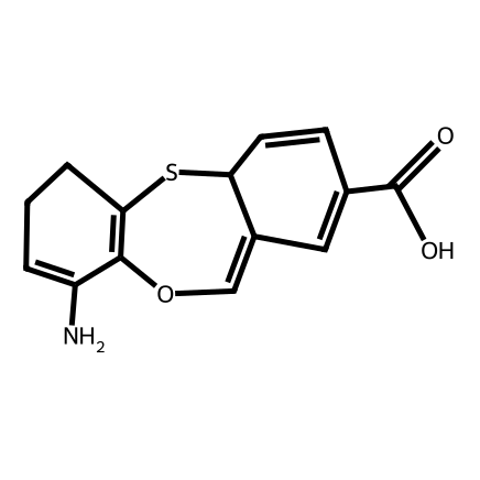 NC1=CCCC2=C1OC=C1C=C(C(=O)O)C=CC1S2